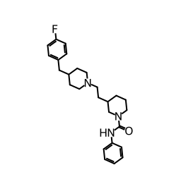 O=C(Nc1ccccc1)N1CCCC(CCN2CCC(Cc3ccc(F)cc3)CC2)C1